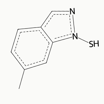 Cc1ccc2cnn(S)c2c1